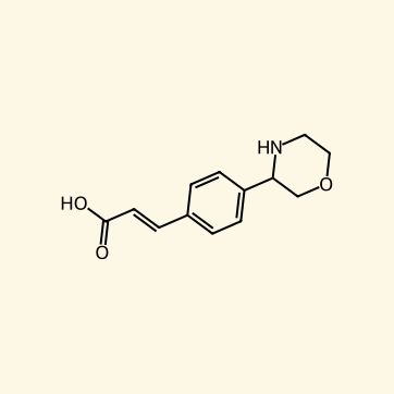 O=C(O)C=Cc1ccc(C2COCCN2)cc1